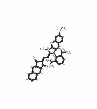 COc1ccc2nc3c(nc2c1)N(C)/C(=C\C=C1C(=O)c2cc4ccccc4cc2C1=O)N3c1c(C(C)C)cccc1C(C)C